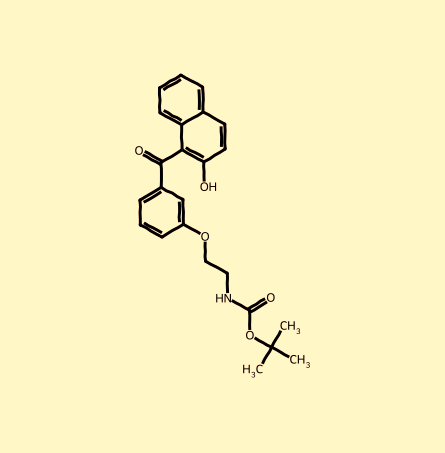 CC(C)(C)OC(=O)NCCOc1cccc(C(=O)c2c(O)ccc3ccccc23)c1